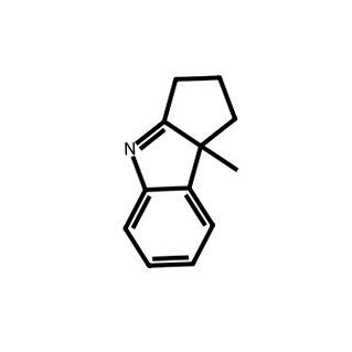 CC12CCCC1=Nc1ccccc12